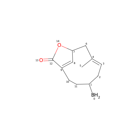 BC1C/C=C(\C)CC2C=C(CC1)C(=O)O2